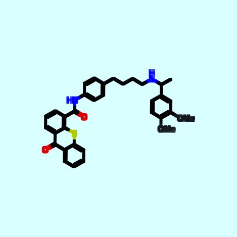 COc1ccc(C(C)NCCCCc2ccc(NC(=O)c3cccc4c(=O)c5ccccc5sc34)cc2)cc1OC